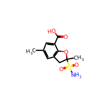 Cc1cc2c(c(C(=O)O)c1)OC(C)(S(N)(=O)=O)C2